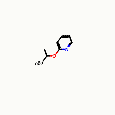 CCCCC(C)Oc1cc[c]cn1